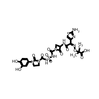 CC(C)(O/N=C(\C(=O)NC1CN(C(=O)NS(=O)(=O)NC(=O)N2CCN(c3ccc(O)c(O)c3)C2=O)C1=O)c1csc(N)n1)C(=O)O